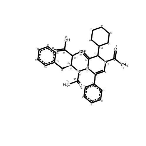 CC(=O)N1C=C(c2ccccc2)N(N(C(C)=O)[C@@H](Cc2ccccc2)C(O)C(=O)O)C(=O)C1C1CCCCC1